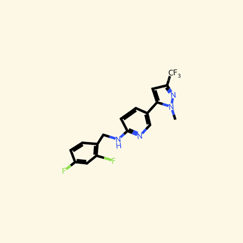 Cn1nc(C(F)(F)F)cc1-c1ccc(NCc2ccc(F)cc2F)nc1